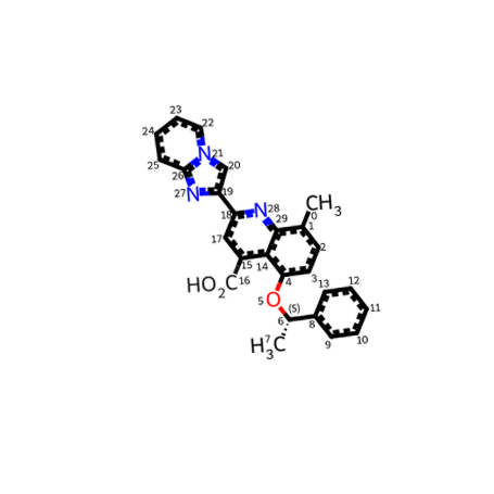 Cc1ccc(O[C@@H](C)c2ccccc2)c2c(C(=O)O)cc(-c3cn4ccccc4n3)nc12